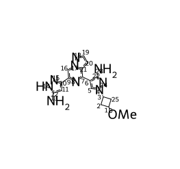 CO[C@H]1C[C@H](n2cc(-c3nc(-c4cc(N)[nH]n4)cn4nccc34)c(N)n2)C1